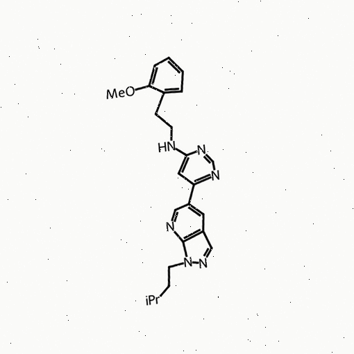 COc1ccccc1CCNc1cc(-c2cnc3c(cnn3CCC(C)C)c2)ncn1